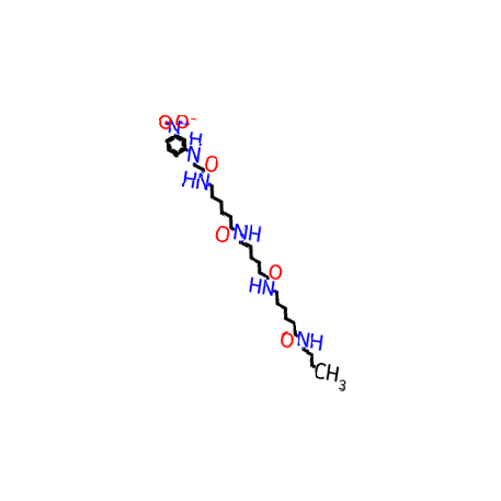 CCCCNC(=O)CCCCCNC(=O)CCCCCNC(=O)CCCCCNC(=O)CNc1cccc([N+](=O)[O-])c1